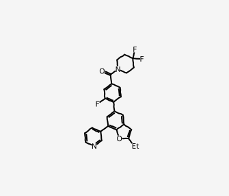 CCc1cc2cc(-c3ccc(C(=O)N4CCC(F)(F)CC4)cc3F)cc(-c3cccnc3)c2o1